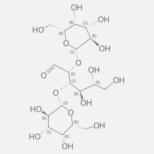 O=C[C@H](O[C@@H]1O[C@H](CO)[C@H](O)[C@H](O)[C@H]1O)[C@@H](O[C@@H]1O[C@H](CO)[C@H](O)[C@H](O)[C@H]1O)[C@H](O)[C@H](O)CO